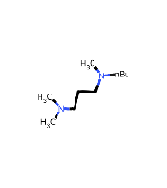 [CH2-][CH+]CCN(C)CCCN(C)C